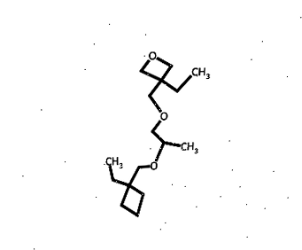 CCC1(COCC(C)OCC2(CC)CCC2)COC1